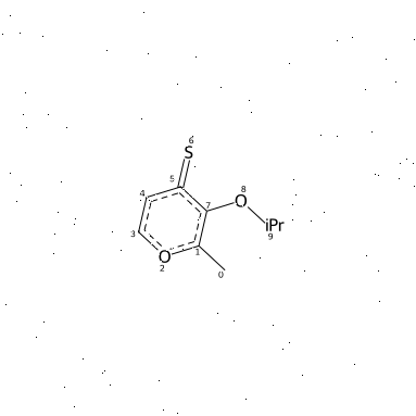 Cc1occc(=S)c1OC(C)C